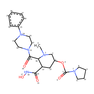 CN1CC(OC(=O)N2CCCC2)CC(C(=O)NO)C1C(=O)N1CCN(c2ccccc2)CC1